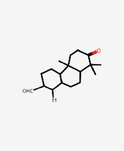 CCC1C(C=O)CCC2C1CCC1C(C)(C)C(=O)CCC21C